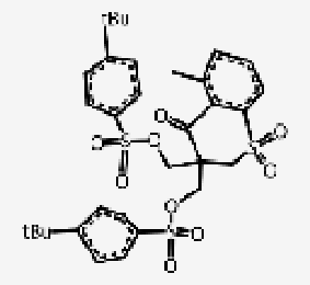 Cc1cccc2c1C(=O)C(COS(=O)(=O)c1ccc(C(C)(C)C)cc1)(COS(=O)(=O)c1ccc(C(C)(C)C)cc1)CS2(=O)=O